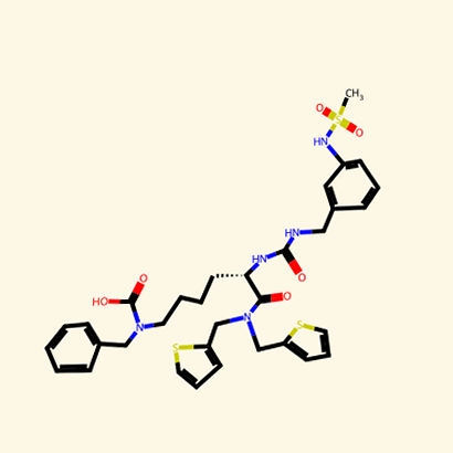 CS(=O)(=O)Nc1cccc(CNC(=O)N[C@@H](CCCCN(Cc2ccccc2)C(=O)O)C(=O)N(Cc2cccs2)Cc2cccs2)c1